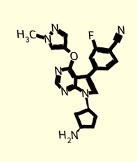 Cn1cc(Oc2ncnc3c2c(-c2ccc(C#N)c(F)c2)cn3[C@H]2CC[C@H](N)C2)cn1